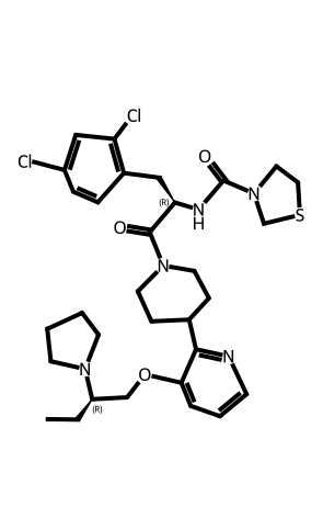 CC[C@H](COc1cccnc1C1CCN(C(=O)[C@@H](Cc2ccc(Cl)cc2Cl)NC(=O)N2CCSC2)CC1)N1CCCC1